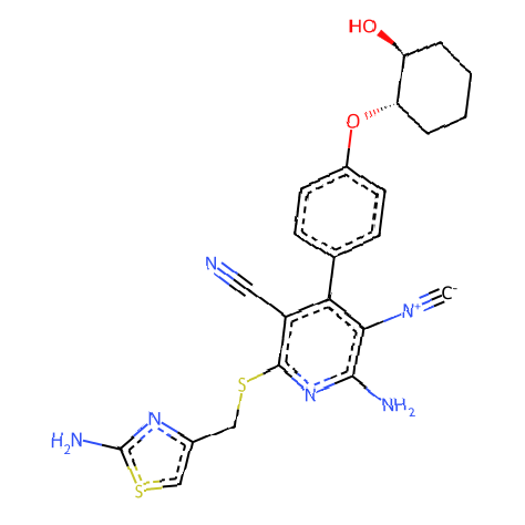 [C-]#[N+]c1c(N)nc(SCc2csc(N)n2)c(C#N)c1-c1ccc(O[C@H]2CCCC[C@@H]2O)cc1